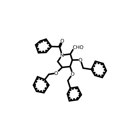 O=CC1C(OCc2ccccc2)C(OCc2ccccc2)C(OCc2ccccc2)CN1C(=O)c1ccccc1